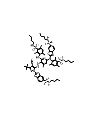 [C-]#[N+]c1c(C(C)(C)C)nn(-c2nc3ccc(S(=O)(=O)NCCCC)cc3s2)c1/N=N/c1c(C)cc(N(c2nc3ccc(S(=O)(=O)NCCCC)cc3s2)c2c(C)cc(C)c(S(=O)(=O)NCCCC)c2C)nc1Nc1c(C)cc(C)c(S(=O)(=O)NCCCC)c1C